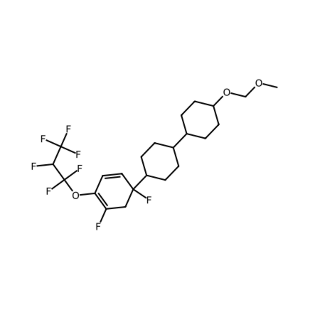 COCOC1CCC(C2CCC(C3(F)C=CC(OC(F)(F)C(F)C(F)(F)F)=C(F)C3)CC2)CC1